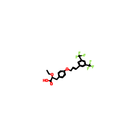 CCOC(Cc1ccc(OCC=Cc2cc(C(F)(F)F)cc(C(F)(F)F)c2)cc1)C(=O)O